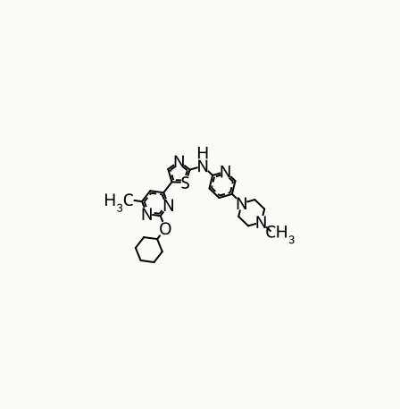 Cc1cc(-c2cnc(Nc3ccc(N4CCN(C)CC4)cn3)s2)nc(OC2CCCCC2)n1